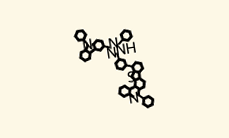 c1ccc(C2=NC(c3ccc4c(c3)c3ccccc3n4-c3ccccc3)=NC(c3cccc(-c4cccc5c4sc4c5ccc5c(-c6ccccc6)nc6ccccc6c54)c3)N2)cc1